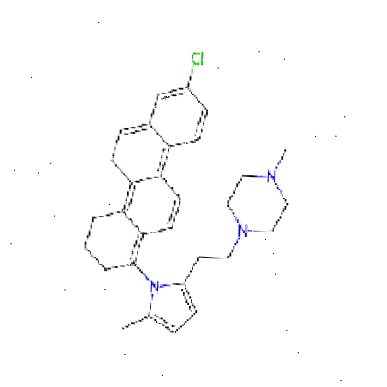 Cc1ccc(CCN2CCN(C)CC2)n1C1=c2ccc3c(c2CCC1)CC=c1cc(Cl)ccc1=3